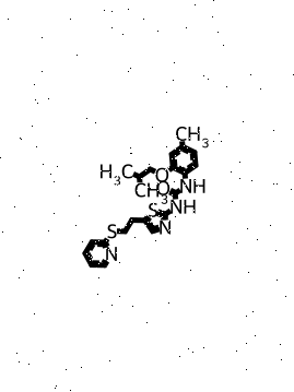 Cc1ccc(NC(=O)Nc2ncc(CCSc3ccccn3)s2)c(OCC(C)C)c1